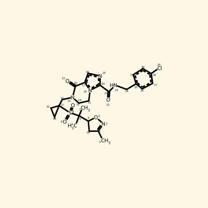 CC1=NOC(C(C)(C)S(=O)(=O)C2(CN3CCn4c(cnc4C(=O)NCc4ccc(Cl)cc4)C3=O)CC2)C1